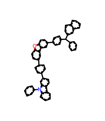 c1ccc(C(c2ccc(-c3ccc4oc5ccc(-c6ccc(-c7ccc8c9ccccc9n(-c9ccccc9)c8c7)cc6)cc5c4c3)cc2)c2ccc3ccccc3c2)cc1